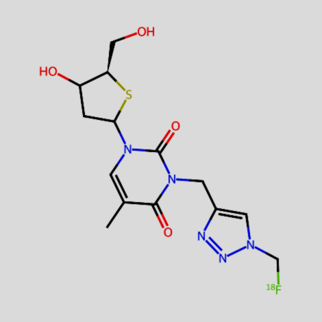 Cc1cn(C2CC(O)[C@@H](CO)S2)c(=O)n(Cc2cn(C[18F])nn2)c1=O